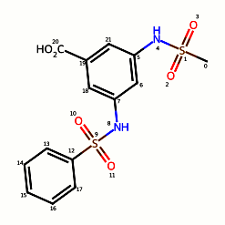 CS(=O)(=O)Nc1cc(NS(=O)(=O)c2ccccc2)cc(C(=O)O)c1